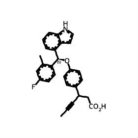 CC#CC(CC(=O)O)c1ccc(O[C@@H](c2ccc(F)cc2C)c2cccc3[nH]ccc23)cc1